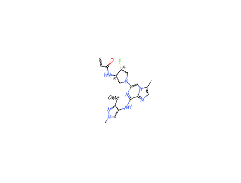 C=CC(=O)N[C@@H]1CN(c2cn3c(C)cnc3c(Nc3cn(C)nc3OC)n2)C[C@H]1F